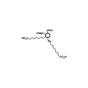 CCCCCCCc1c(CCCCCC)ccc(/C=C/CCCCCCCC(=O)O)c1CCCCCCCC(=O)O